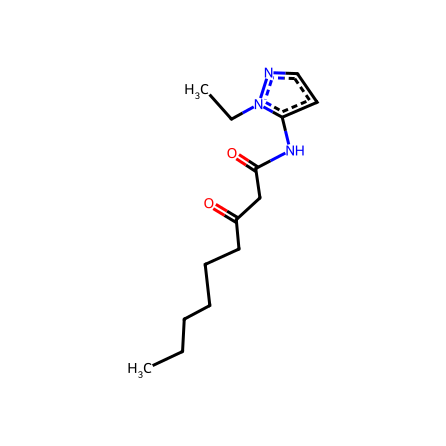 CCCCCCC(=O)CC(=O)Nc1ccnn1CC